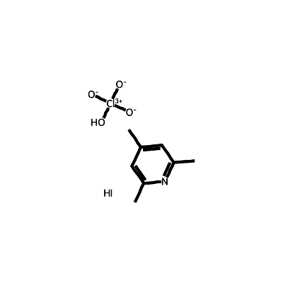 Cc1cc(C)nc(C)c1.I.[O-][Cl+3]([O-])([O-])O